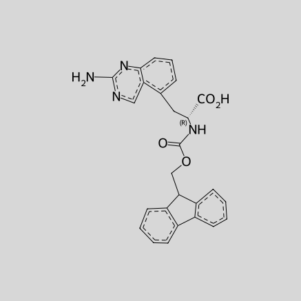 Nc1ncc2c(C[C@@H](NC(=O)OCC3c4ccccc4-c4ccccc43)C(=O)O)cccc2n1